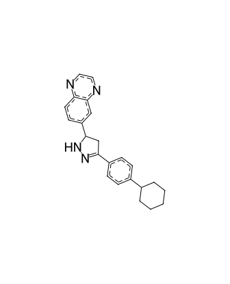 c1cnc2cc(C3CC(c4ccc(C5CCCCC5)cc4)=NN3)ccc2n1